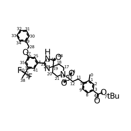 Cc1cc(C(=O)OC(C)(C)C)ccc1CCS(=O)(=O)N1CCC2(CC1)N=C(c1cc(OCc3ccccc3)cc(C(C)(F)F)c1)NC2=O